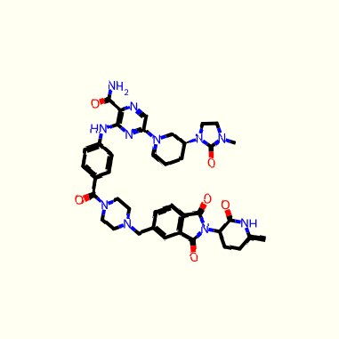 C=C1CCC(N2C(=O)c3ccc(CN4CCN(C(=O)c5ccc(Nc6nc(N7CCC[C@H](N8CCN(C)C8=O)C7)cnc6C(N)=O)cc5)CC4)cc3C2=O)C(=O)N1